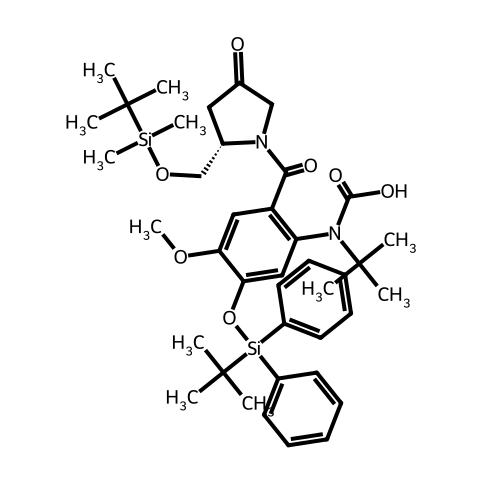 COc1cc(C(=O)N2CC(=O)C[C@H]2CO[Si](C)(C)C(C)(C)C)c(N(C(=O)O)C(C)(C)C)cc1O[Si](c1ccccc1)(c1ccccc1)C(C)(C)C